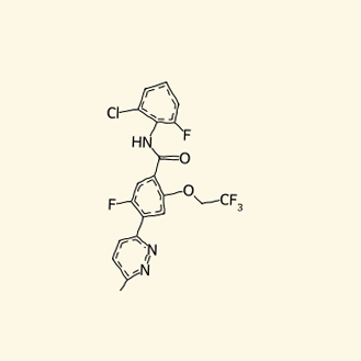 Cc1ccc(-c2cc(OCC(F)(F)F)c(C(=O)Nc3c(F)cccc3Cl)cc2F)nn1